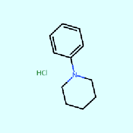 Cl.c1ccc(N2CCCCC2)cc1